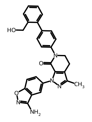 Cc1nn(-c2ccc3onc(N)c3c2)c2c1CCN(c1ccc(-c3ccccc3CO)cc1)C2=O